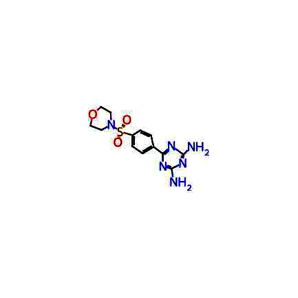 Nc1nc(N)nc(-c2ccc(S(=O)(=O)N3CCOCC3)cc2)n1